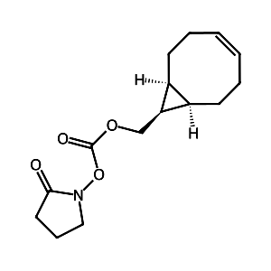 O=C(OC[C@@H]1[C@@H]2CC/C=C\CC[C@@H]21)ON1CCCC1=O